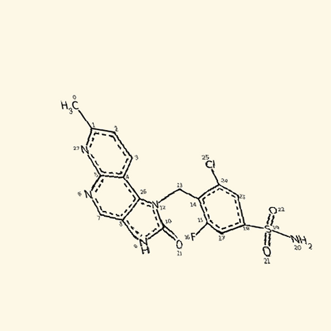 Cc1ccc2c(ncc3[nH]c(=O)n(Cc4c(F)cc(S(N)(=O)=O)cc4Cl)c32)n1